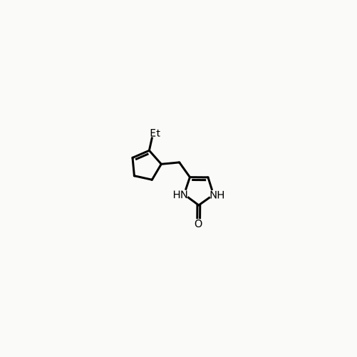 CCC1=CCCC1Cc1c[nH]c(=O)[nH]1